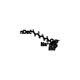 CCCCCCCCCCCCCCCCCCOP(=O)([O-])OC(C)CC.[Na+]